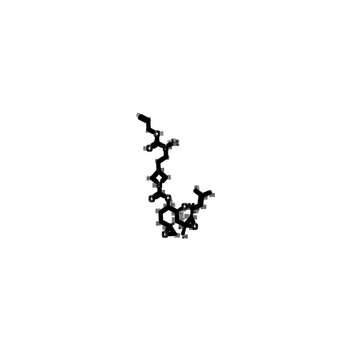 C=CCOC(=O)N(CC)CCC1CN(C(=O)O[C@@H]2CCC3(CO3)[C@@H]([C@@]3(C)O[C@@H]3CC=C(C)C)[C@@H]2OC)C1